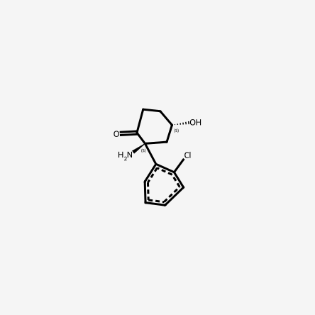 N[C@]1(c2ccccc2Cl)C[C@@H](O)CCC1=O